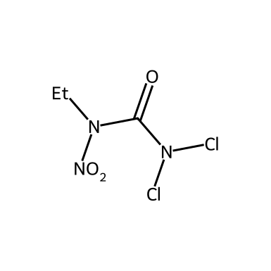 CCN(C(=O)N(Cl)Cl)[N+](=O)[O-]